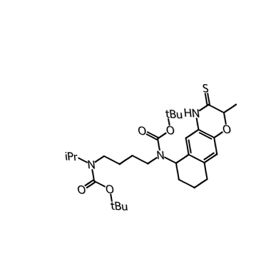 CC1Oc2cc3c(cc2NC1=S)C(N(CCCCN(C(=O)OC(C)(C)C)C(C)C)C(=O)OC(C)(C)C)CCC3